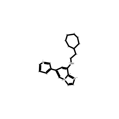 c1cncc(-c2cc(NCCC3CCCCCC3)c3nccn3c2)c1